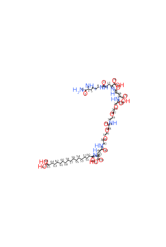 NC(=O)[C@@H](N)CCCCNC(=O)CC[C@H](NC(=O)CC[C@H](NC(=O)COCCOCCNC(=O)COCCOCCNC(=O)CC[C@H](NC(=O)CCCCCCCCCCCCCCCCC(O)O)C(=O)O)C(=O)O)C(=O)O